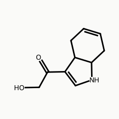 O=C(CO)C1=CNC2CC=CCC12